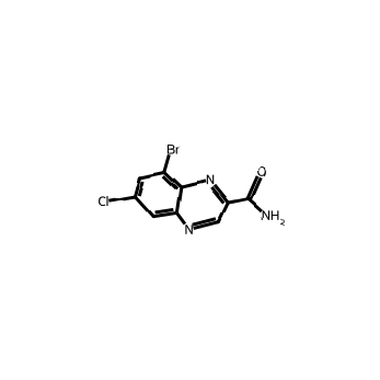 NC(=O)c1cnc2cc(Cl)cc(Br)c2n1